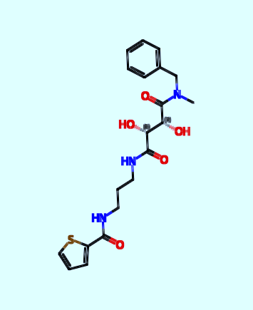 CN(Cc1ccccc1)C(=O)[C@H](O)[C@@H](O)C(=O)NCCCNC(=O)c1cccs1